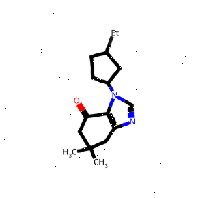 CCC1CCC(n2cnc3c2C(=O)CC(C)(C)C3)C1